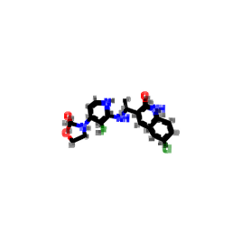 C[C@H](Nc1nccc(N2CCOC2=O)c1F)c1cc2cc(Cl)ccc2[nH]c1=O